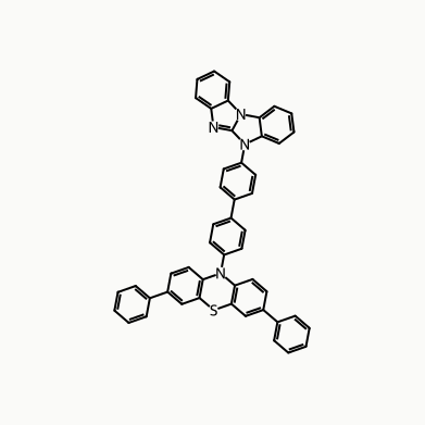 c1ccc(-c2ccc3c(c2)Sc2cc(-c4ccccc4)ccc2N3c2ccc(-c3ccc(-n4c5ccccc5n5c6ccccc6nc45)cc3)cc2)cc1